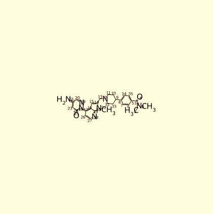 CN(C)C(=O)c1ccc(C2CCN(Cc3cc4c(-n5ncc(N)cc5=O)ccnc4n3C)CC2)cc1